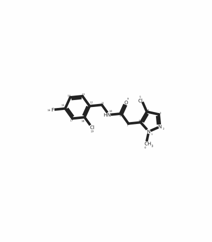 Cn1ncc(Cl)c1CC(=O)NCc1ccc(F)cc1Cl